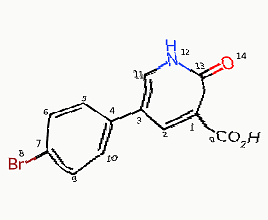 O=C(O)c1cc(-c2ccc(Br)cc2)c[nH]c1=O